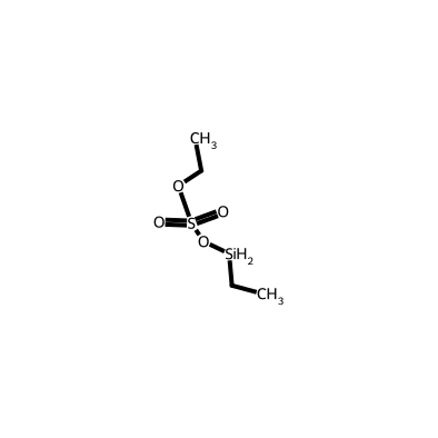 CCOS(=O)(=O)O[SiH2]CC